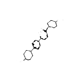 CCCCCC1CCC(c2ccc(-c3ccc(C4CCC(CCCCC)CC4)nn3)cc2)CC1